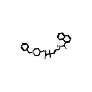 C[C@@H](NC/C=C/C(C)(C)C(=O)NC1CCN(Cc2ccccc2)CC1)c1cccc2ccccc12